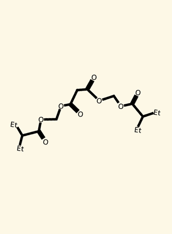 CCC(CC)C(=O)OCOC(=O)CC(=O)OCOC(=O)C(CC)CC